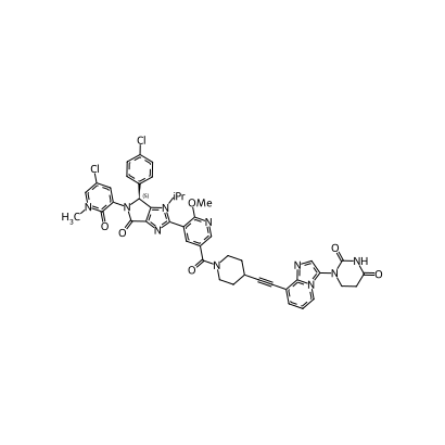 COc1ncc(C(=O)N2CCC(C#Cc3cccn4c(N5CCC(=O)NC5=O)cnc34)CC2)cc1-c1nc2c(n1C(C)C)[C@H](c1ccc(Cl)cc1)N(c1cc(Cl)cn(C)c1=O)C2=O